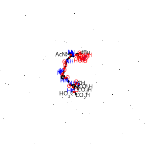 CC(=O)Nc1ncnc2c1c(C#CCNC(=O)COCCOC(COc1cccc(C(=O)NCCNC(=O)c3cc(C(=O)N[C@@H](CCC(=O)O)C(=O)O)cc(C(=O)N(C)[C@@H](CCC(=O)O)C(=O)O)c3)c1)N=[N+]=[N-])cn2[C@H]1C[C@H](OC(=O)C(C)(C)C)[C@@H](COP(=O)(O)OP(=O)(O)OP(=O)(O)O)O1